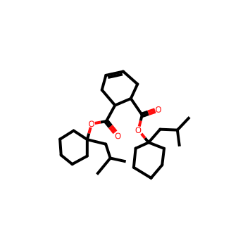 CC(C)CC1(OC(=O)C2CC=CCC2C(=O)OC2(CC(C)C)CCCCC2)CCCCC1